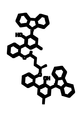 Cc1cc(-c2ccccc2OC(C)CC[C@@H](C)Oc2ccccc2-c2cc(C)cc(-n3c4ccccc4c4ccccc43)c2O)c(O)c(-n2c3ccccc3c3ccccc32)c1